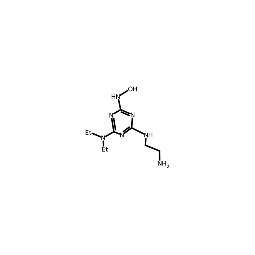 CCN(CC)c1nc(NO)nc(NCCN)n1